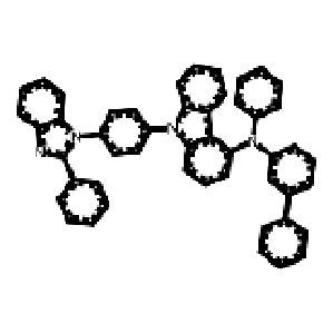 c1ccc(-c2cccc(N(c3ccccc3)c3cccc4c3c3ccccc3n4-c3ccc(-n4c(-c5ccccc5)nc5ccccc54)cc3)c2)cc1